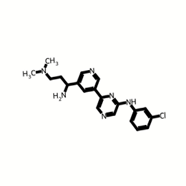 CN(C)CCC(N)c1cncc(-c2cncc(Nc3cccc(Cl)c3)n2)c1